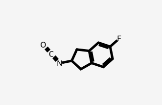 O=C=NC1Cc2ccc(F)cc2C1